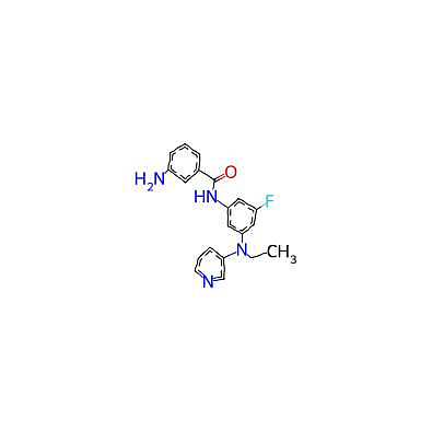 CCN(c1cccnc1)c1cc(F)cc(NC(=O)c2cccc(N)c2)c1